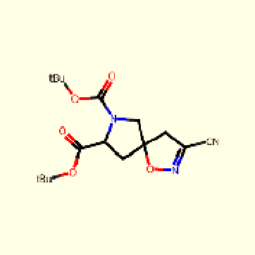 CC(C)(C)OC(=O)C1CC2(CC(C#N)=NO2)CN1C(=O)OC(C)(C)C